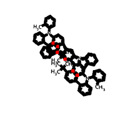 Cc1ccccc1N(c1ccccc1-c1ccc(C(C)(C)C)cc1)c1ccc2c3cc4c(cc3n3c5ccccc5c1c23)c1ccc(N(c2ccccc2C)c2ccccc2-c2ccc(C(C)(C)C)cc2)c2c3ccccc3n4c12